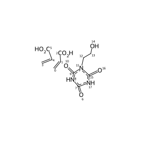 C=CC(=O)O.C=CC(=O)O.O=c1[nH]c(=O)n(CCO)c(=O)[nH]1